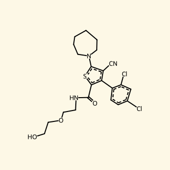 N#Cc1c(N2CCCCCC2)sc(C(=O)NCCOCCO)c1-c1ccc(Cl)cc1Cl